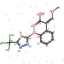 COC=C(C(=O)O)c1ccccc1Oc1nnc(C(F)(F)F)s1